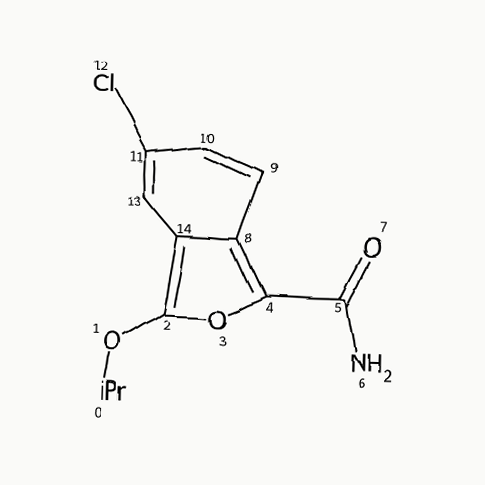 CC(C)Oc1oc(C(N)=O)c2ccc(Cl)cc12